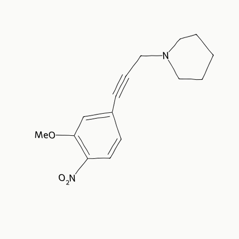 COc1cc(C#CCN2CCCCC2)ccc1[N+](=O)[O-]